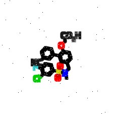 CN(Cc1ccc(OCC(=O)O)c(-c2cccc(C#N)c2)c1)S(=O)(=O)c1ccc(F)c(Cl)c1